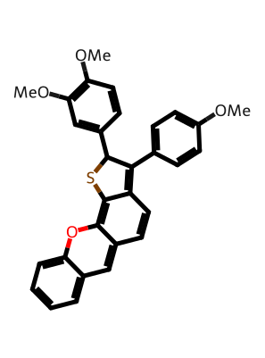 COc1ccc(C2=c3ccc4c(c3SC2c2ccc(OC)c(OC)c2)Oc2ccccc2C=4)cc1